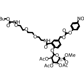 COC(=O)[C@H]1OC(Oc2ccc(COC(=O)Oc3ccc([N+](=O)[O-])cc3)cc2C(=O)NCCOCCOCCONC(=O)OC(C)(C)C)[C@H](OC(C)=O)[C@@H](OC(C)=O)[C@@H]1OC(C)=O